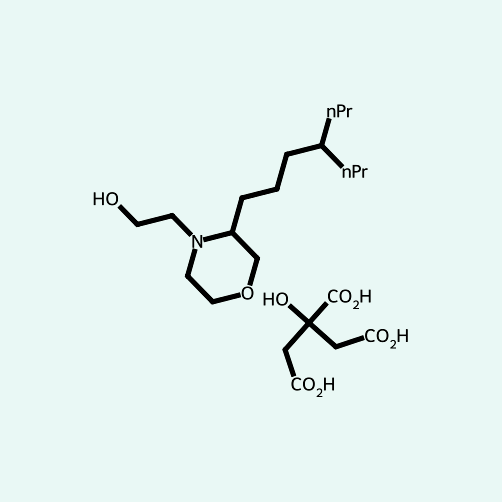 CCCC(CCC)CCCC1COCCN1CCO.O=C(O)CC(O)(CC(=O)O)C(=O)O